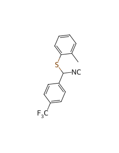 [C-]#[N+]C(Sc1ccccc1C)c1ccc(C(F)(F)F)cc1